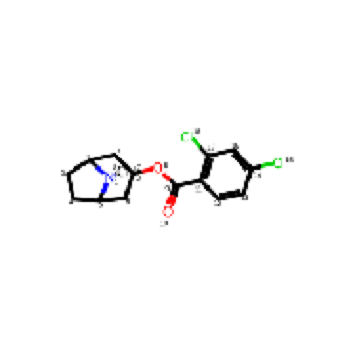 CN1C2CCC1CC(OC(=O)c1ccc(Cl)cc1Cl)C2